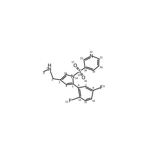 CNCc1cc(-c2cc(F)ccc2F)n(S(=O)(=O)c2cccnc2)c1